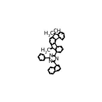 C=C1c2ccc3c(c2-c2cccc(-c4nc(-c5ccccc5)nc(-c5cccc6ccccc56)n4)c21)-c1ccccc1C3(C)C